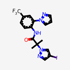 CC(C)(C(=O)Nc1ccc(C(F)(F)F)cc1-n1cccn1)n1cc(I)cn1